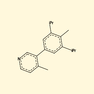 Cc1ccncc1-c1cc(C(C)C)c(C)c(C(C)C)c1